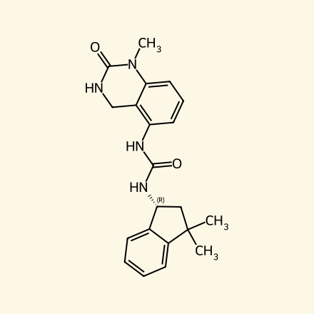 CN1C(=O)NCc2c(NC(=O)N[C@@H]3CC(C)(C)c4ccccc43)cccc21